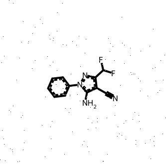 N#Cc1c(C(F)F)nn(-c2ccccc2)c1N